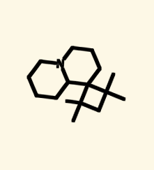 CC1(C)CC(C)(C)C12CCCN1CCCCC12